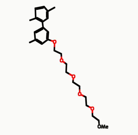 COCCOCCOCCOCCOCCOc1cc(C)cc(-c2cc(C)ccc2C)c1